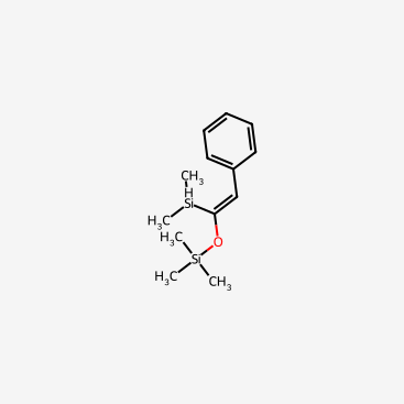 C[SiH](C)C(=Cc1ccccc1)O[Si](C)(C)C